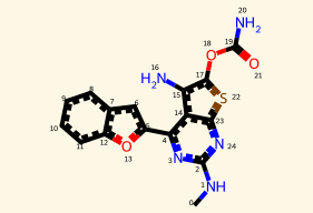 CNc1nc(-c2cc3ccccc3o2)c2c(N)c(OC(N)=O)sc2n1